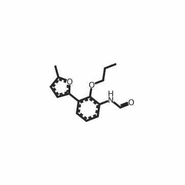 CCCOc1c(NC=O)cccc1-c1ccc(C)o1